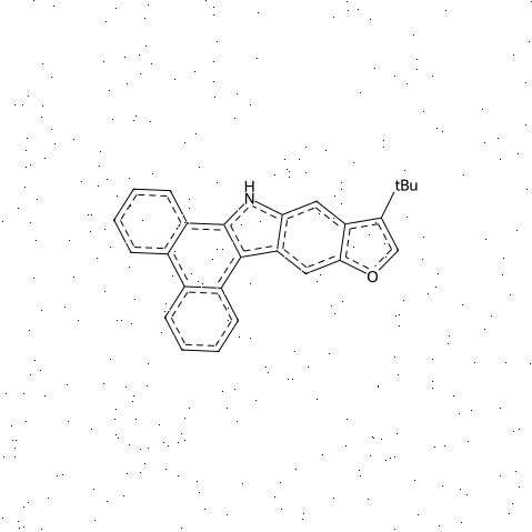 CC(C)(C)c1coc2cc3c(cc12)[nH]c1c2ccccc2c2ccccc2c31